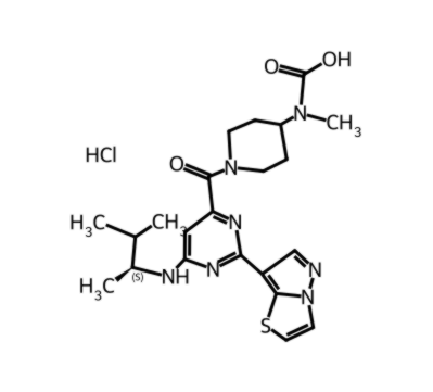 CC(C)[C@H](C)Nc1cc(C(=O)N2CCC(N(C)C(=O)O)CC2)nc(-c2cnn3ccsc23)n1.Cl